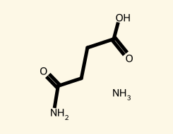 N.NC(=O)CCC(=O)O